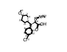 CO[C@H]1CC[C@H]([C@H](c2ccc(Cl)cc2)C(N=[N+]=[N-])C(=O)O)CC1